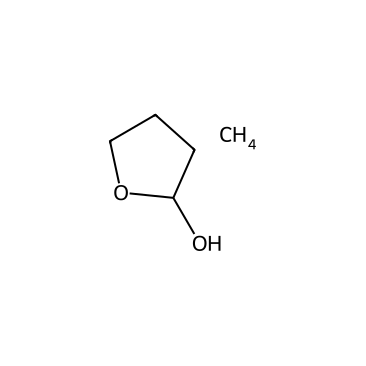 C.OC1CCCO1